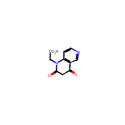 O=C(O)CN1C(=O)CC(=O)c2cnccc21